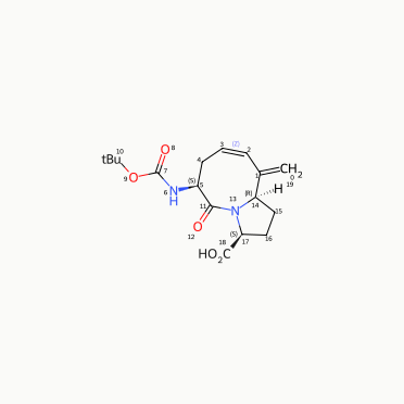 C=C1/C=C\C[C@H](NC(=O)OC(C)(C)C)C(=O)N2[C@@H]1CC[C@H]2C(=O)O